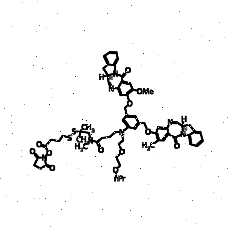 CCCOCCOCCN(CCCC(=O)N(C)CC(C)(C)SSCCCC(=O)ON1C(=O)CCC1=O)c1cc(COc2cc3c(cc2C)C(=O)N2c4ccccc4C[C@H]2C=N3)cc(COc2cc3c(cc2OC)C(=O)N2c4ccccc4C[C@H]2C=N3)c1